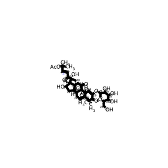 CC(=O)OC(C)(C)/C=C/C(=O)[C@@]1(O)C[C@]23CC(=O)[C@@]4(C)[C@@H]5C=C(OC6OC(CO)C(O)C(O)C6O)C(=O)C(C)(C)C5=CC[C@H]4[C@]2(C)C[C@@H](O)[C@@H]31